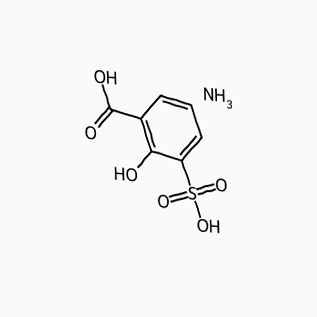 N.O=C(O)c1cccc(S(=O)(=O)O)c1O